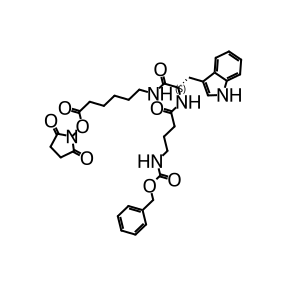 O=C(CCCNC(=O)OCc1ccccc1)N[C@@H](Cc1c[nH]c2ccccc12)C(=O)NCCCCCC(=O)ON1C(=O)CCC1=O